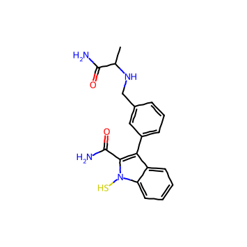 CC(NCc1cccc(-c2c(C(N)=O)n(S)c3ccccc23)c1)C(N)=O